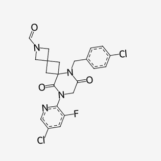 O=CN1CC2(C1)CC1(C2)C(=O)N(c2ncc(Cl)cc2F)CC(=O)N1Cc1ccc(Cl)cc1